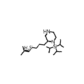 CC(C)=C[SiH2]CCCC1CNCCN1[Si](C(C)C)(C(C)C)C(C)C